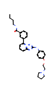 CCCCNC(=O)c1cccc(-c2cccc3nc(Nc4ccc(OCCN5CCCC5)cc4)nn23)c1